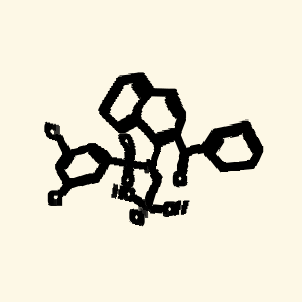 O=C(c1ccccc1)c1ccc2ccccc2c1N(CP(=O)(O)O)S(=O)(=O)c1cc(Cl)cc(Cl)c1